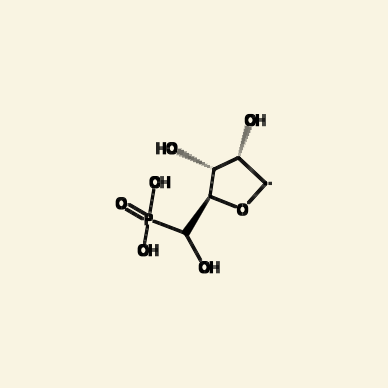 O=P(O)(O)C(O)[C@@H]1O[CH][C@@H](O)[C@H]1O